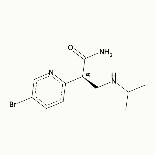 CC(C)NC[C@H](C(N)=O)c1ccc(Br)cn1